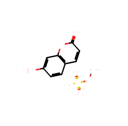 COS(=O)(=O)[O-].O=c1ccc2ccc(O)cc2o1.[K+]